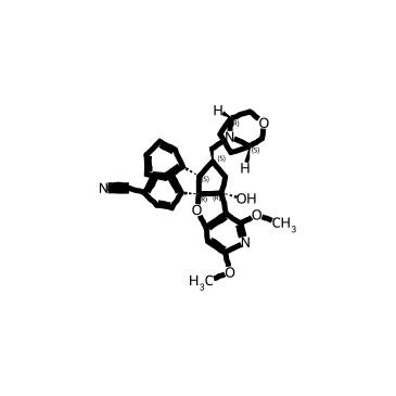 COc1cc2c(c(OC)n1)[C@]1(O)C[C@H](CN3[C@@H]4CC[C@H]3COC4)[C@@H](c3ccccc3)[C@]1(c1ccc(C#N)cc1)O2